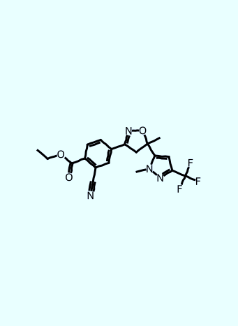 CCOC(=O)c1ccc(C2=NOC(C)(c3cc(C(F)(F)F)nn3C)C2)cc1C#N